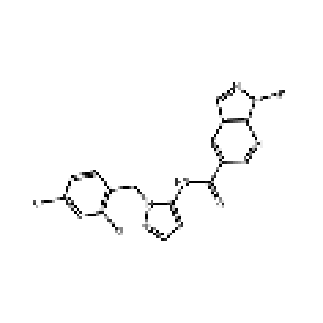 CC(C)n1ncc2cc(C(=O)Nc3ccnn3Cc3ccc(Cl)cc3Cl)cnc21